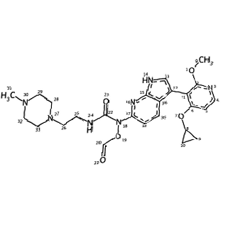 COc1nccc(OC2CC2)c1-c1c[nH]c2nc(N(OC=O)C(=O)NCCN3CCN(C)CC3)ccc12